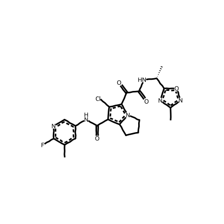 Cc1noc([C@@H](C)NC(=O)C(=O)c2c(Cl)c(C(=O)Nc3cnc(F)c(C)c3)c3n2CCC3)n1